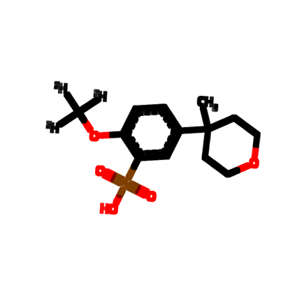 [2H]C([2H])([2H])Oc1ccc(C2(C)CCOCC2)cc1S(=O)(=O)O